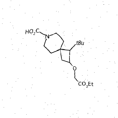 CCOC(=O)COC1CC2(CCN(C(=O)O)CC2)C1C(C)(C)C